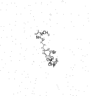 Cn1ccnc1SCCCc1ccc(OP(=O)(O)C(F)F)c(Br)c1